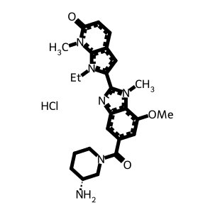 CCn1c(-c2nc3cc(C(=O)N4CCC[C@@H](N)C4)cc(OC)c3n2C)cc2ccc(=O)n(C)c21.Cl